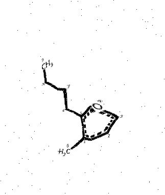 [CH2]c1ccoc1CCCC